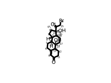 C[C@H]1C[C@H]2[C@@H]3CCC4=CC(=O)CC[C@]4(C)[C@@]3(O)CC[C@]2(C)[C@@]1(O)C(=O)CBr